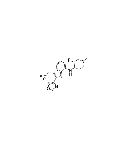 CN1CC[C@@H](Nc2cccn3c(CC(F)(F)F)c(-c4ncon4)nc23)[C@@H](F)C1